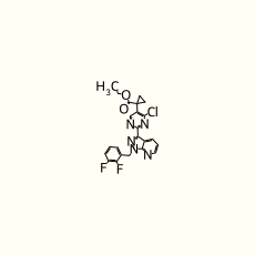 CCOC(=O)C1(c2cnc(-c3nn(Cc4cccc(F)c4F)c4ncccc34)nc2Cl)CC1